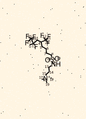 CC(F)(CC(CCCCS(=O)(=O)NCCC[N+](C)(C)C)C(F)(F)F)C(F)(F)F